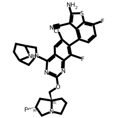 N#Cc1c(N)sc2c(F)ccc(-c3c(Cl)cc4c(N5CC6CCC(C5)N6)nc(OC[C@@]56CCCN5C[C@H](F)C6)nc4c3F)c12